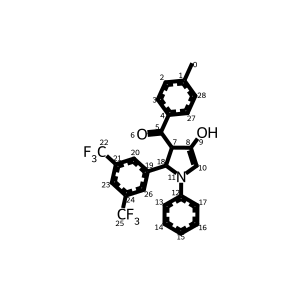 Cc1ccc(C(=O)C2C(O)=CN(c3ccccc3)C2c2cc(C(F)(F)F)cc(C(F)(F)F)c2)cc1